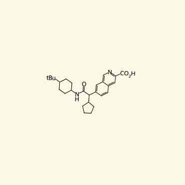 CC(C)(C)C1CCC(NC(=O)C(c2ccc3cc(C(=O)O)ncc3c2)C2CCCC2)CC1